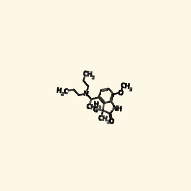 CCCN(CCC)C(C)c1ccc(OC)c2c1C(C)(C)C(=O)N2